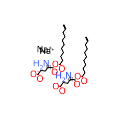 C=CCCCCCCCCC(=O)OC(=O)[C@@H](N)CCC(=O)[O-].C=CCCCCCCCCC(=O)OC(=O)[C@@H](N)CCC(=O)[O-].[Na+].[Na+]